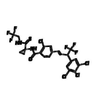 O=C(NC1(C(=S)NCC(F)(F)F)CC1)c1ccc(/C=C/C(c2cc(Cl)c(Cl)c(Cl)c2)C(F)(F)F)cc1Cl